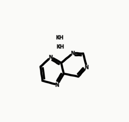 [KH].[KH].c1cnc2ncncc2n1